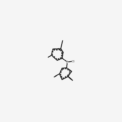 Cc1cc(C)cc(P(Cl)c2cc(C)cc(C)c2)c1